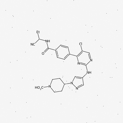 CCC(C#N)NC(=O)c1ccc(-c2nc(Nc3cnn(C4CCN(C(=O)O)CC4)c3)ncc2Cl)cc1